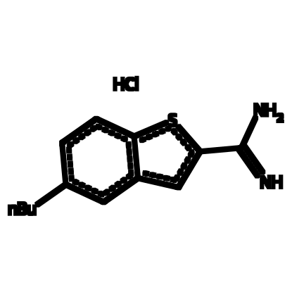 CCCCc1ccc2sc(C(=N)N)cc2c1.Cl